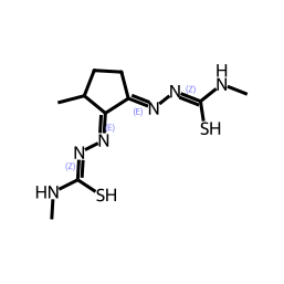 CN/C(S)=N/N=C1\CCC(C)\C1=N/N=C(\S)NC